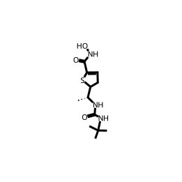 C[C@@H](NC(=O)NC(C)(C)C)C1CC=C(C(=O)NO)S1